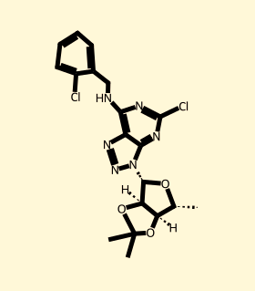 [CH2][C@H]1O[C@@H](n2nnc3c(NCc4ccccc4Cl)nc(Cl)nc32)[C@@H]2OC(C)(C)O[C@@H]21